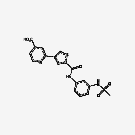 CS(=O)(=O)Nc1cccc(NC(=O)c2cc(-c3cc(C(=O)O)ccn3)cs2)c1